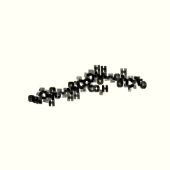 O=C=Nc1cccc(NC(=O)OCCCNC(=O)Nc2ccc3c(c2)C(C(=O)O)c2cc(NC(=O)NCCCOC(=O)Nc4cccc(N=C=O)c4)ccc2-3)c1